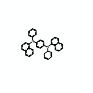 C1=CCC(N(c2ccc(N(c3ccccc3)c3cccc4ccccc34)cc2)c2cccc3ccccc23)C=C1